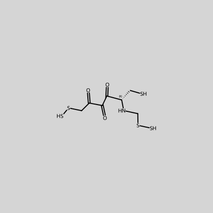 O=C(CSS)C(=O)C(=O)[C@H](CS)NCSS